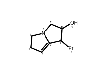 CCC1C2=CCCN2CC1O